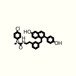 CN(C(=O)NCCc1cccc(Cc2c(-c3ccc(O)cc3)ccc3cc(O)ccc23)c1)c1ccc(Cl)cc1